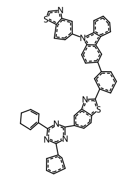 C1=CC(c2nc(-c3ccccc3)nc(-c3ccc4sc(-c5cccc(-c6ccc7c(c6)c6ccccc6n7-c6ccc7scnc7c6)c5)nc4c3)n2)=CCC1